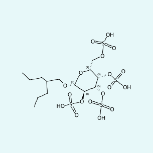 CCCC(CCC)CO[C@@H]1O[C@H](COS(=O)(=O)O)[C@H](OS(=O)(=O)O)[C@H](OS(=O)(=O)O)[C@H]1OS(=O)(=O)O